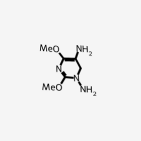 COC1=NC(OC)=C(N)CN1N